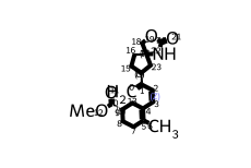 C=C(/C=C\C1=C(C)CC[C@H](C(=O)OC)C1)[C@H]1CC[C@]2(COC(=O)N2)C1